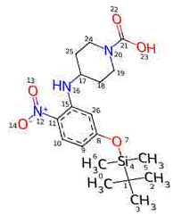 CC(C)(C)[Si](C)(C)Oc1ccc([N+](=O)[O-])c(NC2CCN(C(=O)O)CC2)c1